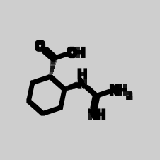 N=C(N)N[C@H]1CCCC[C@@H]1C(=O)O